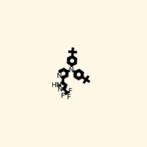 CC(C)(C)c1ccc(N(c2ccc(C(C)(C)C)cc2)c2ccnc(-c3cc(C(F)(F)F)n[nH]3)c2)cc1